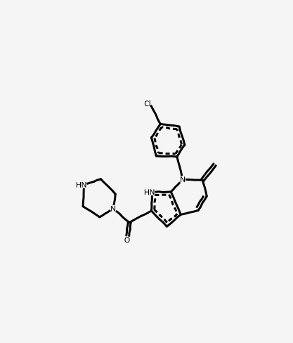 C=C1C=Cc2cc(C(=O)N3CCNCC3)[nH]c2N1c1ccc(Cl)cc1